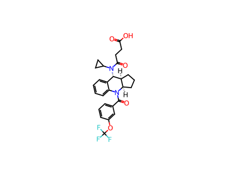 O=C(O)CCC(=O)N(C1CC1)[C@H]1c2ccccc2N(C(=O)c2cccc(OC(F)(F)F)c2)[C@@H]2CCC[C@@H]21